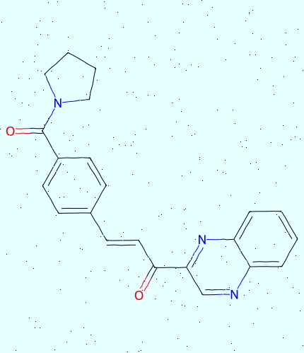 O=C(C=Cc1ccc(C(=O)N2CCCC2)cc1)c1cnc2ccccc2n1